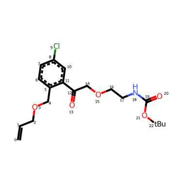 C=CCOCc1ccc(Cl)cc1C(=O)COCCNC(=O)OC(C)(C)C